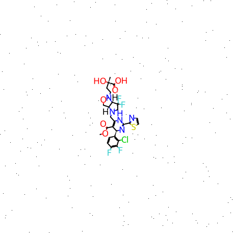 COC(=O)C1=C(CN2CC(F)(F)[C@H]3[C@@H]2CON3CC[C@](C)(O)C(=O)O)NC(c2nccs2)=N[C@H]1c1ccc(F)c(F)c1Cl